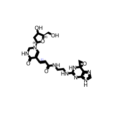 O=C(/C=C/C1=CN([C@H]2CC(O)[C@@H](CO)O2)CNC1=O)NCCNC1=Nc2[nH]cnc2C2(CO2)N1